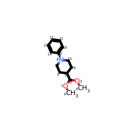 COC(OC)C1CCN(c2ccccc2)CC1